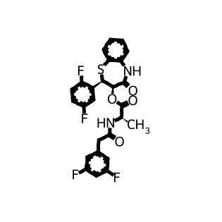 C[C@H](NC(=O)Cc1cc(F)cc(F)c1)C(=O)O[C@@H]1C(=O)Nc2ccccc2S[C@@H]1c1cc(F)ccc1F